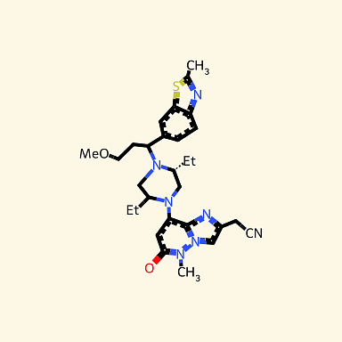 CCC1CN(C(CCOC)c2ccc3nc(C)sc3c2)[C@H](CC)CN1c1cc(=O)n(C)n2cc(CC#N)nc12